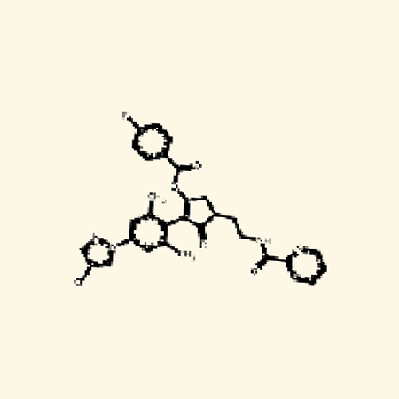 Cc1cc(-n2cc(Cl)cn2)cc(C)c1C1=C(OC(=O)c2ccc(F)cc2)CC(CCNC(=O)c2ccccn2)C1=O